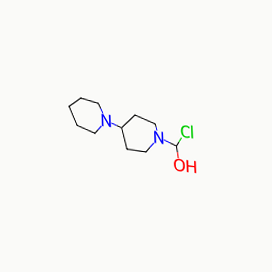 OC(Cl)N1CCC(N2CCCCC2)CC1